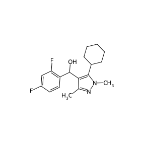 Cc1nn(C)c(C2CCCCC2)c1C(O)c1ccc(F)cc1F